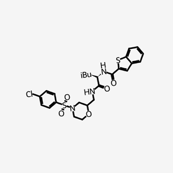 CC[C@H](C)[C@H](NC(=O)c1cc2ccccc2s1)C(=O)NCC1CN(S(=O)(=O)c2ccc(Cl)cc2)CCO1